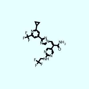 NC(=O)/C(=C/n1cnc(-c2cc(C3CC3)nc(C(F)(F)F)c2)n1)c1cnc(NCC(F)(F)F)nc1